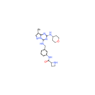 CC(C)c1cnn2c(NCc3cccc(NC(=O)C4CCN4)c3)nc(NC3CCOCC3)nc12